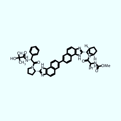 COC(=O)NC(C(=O)N1[C@@H]2CC[C@@H](C2)[C@H]1c1nc2ccc3cc(-c4ccc5c(ccc6nc([C@@H]7CCCN7C(=O)[C@H](NC(=O)C(C)(C)O)c7ccccc7)[nH]c65)c4)ccc3c2[nH]1)C(C)C